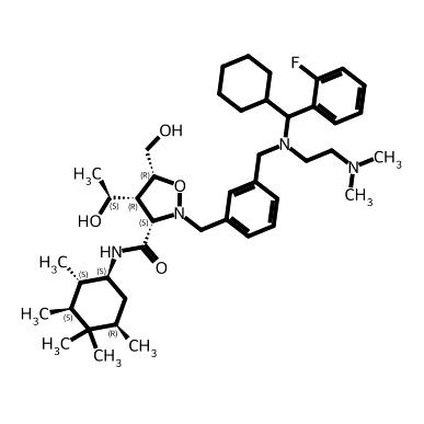 C[C@@H]1[C@@H](NC(=O)[C@@H]2[C@H]([C@H](C)O)[C@H](CO)ON2Cc2cccc(CN(CCN(C)C)C(c3ccccc3F)C3CCCCC3)c2)C[C@@H](C)C(C)(C)[C@H]1C